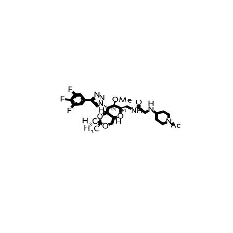 CO[C@@H]1[C@@H](n2cc(-c3cc(F)c(F)c(F)c3)nn2)[C@H]2OC(C)(C)OC[C@H]2O[C@@H]1CNC(=O)CNC1CCN(C(C)=O)CC1